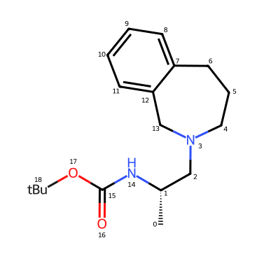 C[C@@H](CN1CCCc2ccccc2C1)NC(=O)OC(C)(C)C